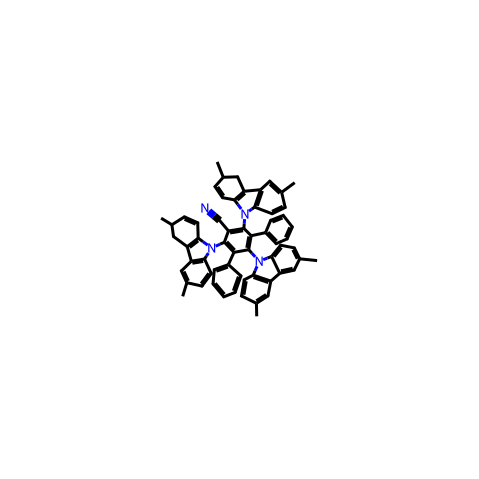 Cc1ccc2c(c1)c1c(n2-c2c(C#N)c(-n3c4c(c5cc(C)ccc53)CC(C)C=C4)c(-c3ccccc3)c(-n3c4ccc(C)cc4c4cc(C)ccc43)c2-c2ccccc2)C=CC(C)C1